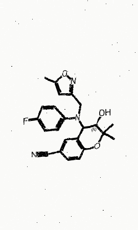 Cc1cc(CN(c2ccc(F)cc2)C2c3cc(C#N)ccc3OC(C)(C)[C@@H]2O)no1